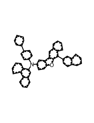 c1ccc(-c2ccc(N(c3ccc4oc5c(-c6ccc7ccccc7c6)c6ccccc6cc5c4c3)c3cc4ccccc4c4ccccc34)cc2)cc1